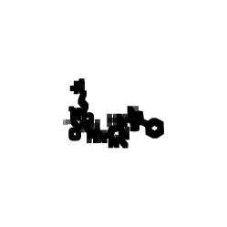 Cc1nc(NCCNC(=O)[C@H](C)N(C)C(=O)/C=C/CN(C)C)cc(Nc2ncc(-c3ccccc3)s2)n1